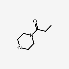 CCC(=O)N1CC[N]CC1